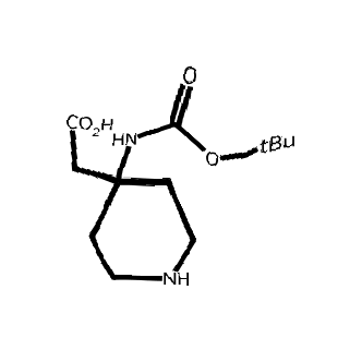 CC(C)(C)OC(=O)NC1(CC(=O)O)CCNCC1